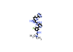 CN(C)CCNc1cc(F)cc(-c2nccc3[nH]c(-c4n[nH]c5ccc(-c6cncnc6)nc45)nc23)c1